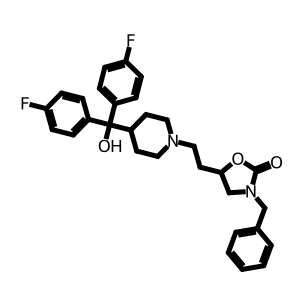 O=C1OC(CCN2CCC(C(O)(c3ccc(F)cc3)c3ccc(F)cc3)CC2)CN1Cc1ccccc1